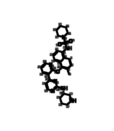 Cc1ccc2c(NS(=O)(=O)N3CCCCC3)cccc2c1Oc1ncccc1-c1ccnc(N[C@H]2CCCNC2)n1